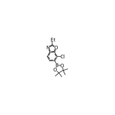 CCc1nc2ccc(B3OC(C)(C)C(C)(C)O3)c(Cl)c2o1